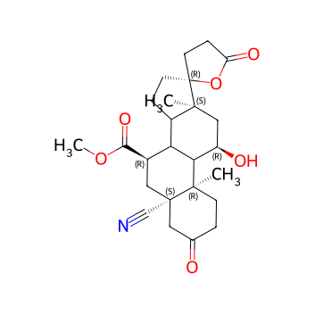 COC(=O)[C@@H]1C[C@]2(C#N)CC(=O)CC[C@]2(C)C2C1C1CC[C@@]3(CCC(=O)O3)[C@@]1(C)C[C@H]2O